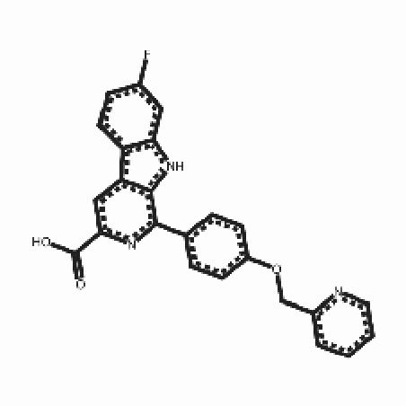 O=C(O)c1cc2c([nH]c3cc(F)ccc32)c(-c2ccc(OCc3ccccn3)cc2)n1